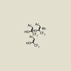 CC(=O)/C=C(\O)C(F)(F)F.CC(=O)/C=C(\O)C(F)(F)F.CC(=O)/C=C(\O)C(F)(F)F.[Rh]